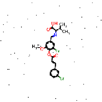 COc1cc(/C=N/C(C(=O)O)C(C)C)cc(Br)c1OC(=O)/C=C/c1cccc(Br)c1